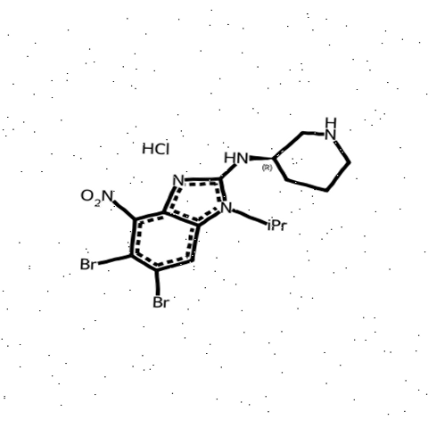 CC(C)n1c(N[C@@H]2CCCNC2)nc2c([N+](=O)[O-])c(Br)c(Br)cc21.Cl